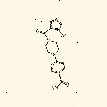 CC(=O)n1cccc1C(=O)N1CCN(c2ccc(C(N)=O)cc2)CC1